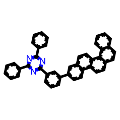 c1ccc(-c2nc(-c3ccccc3)nc(-c3cccc(-c4ccc5c(ccc6c5ccc5ccc7ccccc7c56)c4)c3)n2)cc1